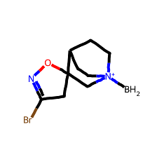 B[N+]12CCC(CC1)C1(CC(Br)=NO1)C2